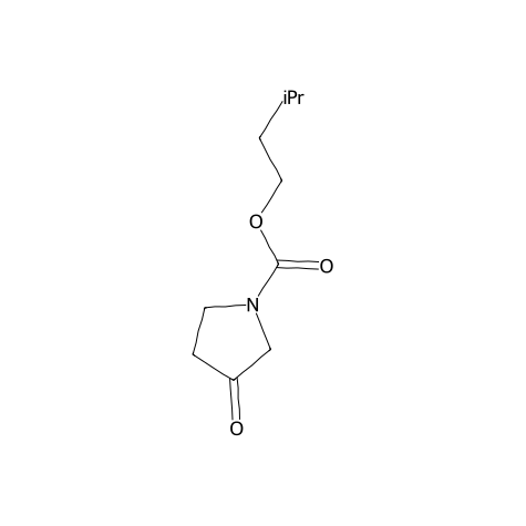 CC(C)CCOC(=O)N1CCC(=O)C1